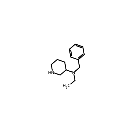 CCN(Cc1ccccc1)C1CCCNC1